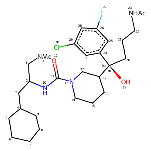 CNCC(CC1CCCCC1)NC(=O)N1CCCC([C@@](O)(CCCNC(C)=O)c2cc(F)cc(Cl)c2)C1